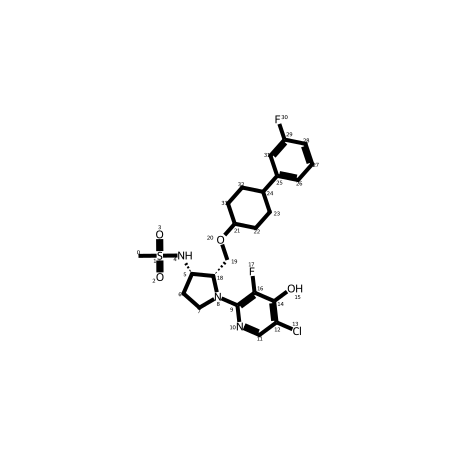 CS(=O)(=O)N[C@H]1CCN(c2ncc(Cl)c(O)c2F)[C@H]1COC1CCC(c2cccc(F)c2)CC1